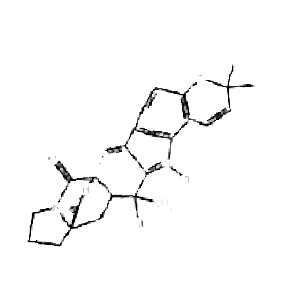 CC1(C)C=Cc2c(ccc3c2[N+]([O-])=C2C3=C[C@]34NC(=O)C5(CCCN5C3=O)CC4C2(C)C)O1